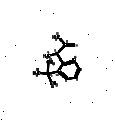 CC(=O)N(C)c1ncccc1C(C)(C)C